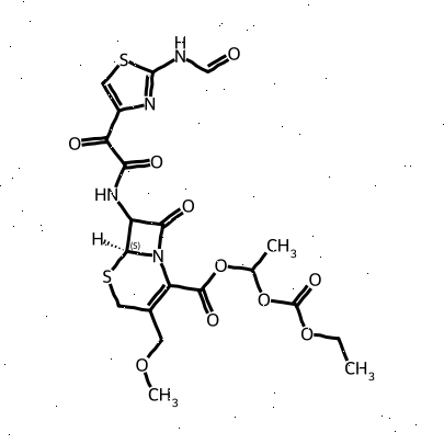 CCOC(=O)OC(C)OC(=O)C1=C(COC)CS[C@H]2C(NC(=O)C(=O)c3csc(NC=O)n3)C(=O)N12